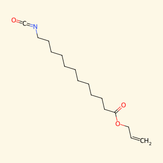 C=CCOC(=O)CCCCCCCCCCCN=C=O